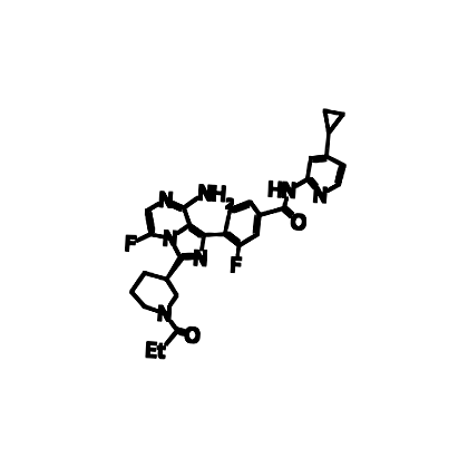 CCC(=O)N1CCC[C@@H](c2nc(-c3ccc(C(=O)Nc4cc(C5CC5)ccn4)cc3F)c3c(N)ncc(F)n23)C1